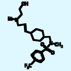 CCN(CC=CC1CCC(CN(C)S(=O)(=O)c2ccc(C(F)(F)F)cc2)CC1)CCO